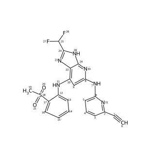 C#Cc1cccc(Nc2cc(Nc3ccccc3S(C)(=O)=O)c3nc(C(F)F)[nH]c3n2)n1